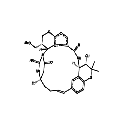 CC[C@]12CC/C=C/c3ccc4c(c3)[C@@H](NC(=O)c3ccc5c(c3)[C@@H]([C@H](COC)CO5)N(C(=N)N1)C(=O)C2)[C@H](O)C(C)(C)O4